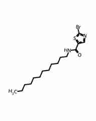 CCCCCCCCCCCCNC(=O)c1cnc(Br)s1